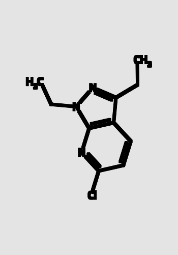 CCc1nn(CC)c2nc(Cl)ccc12